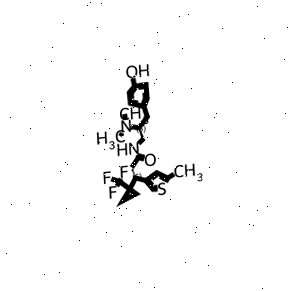 Cc1cc([C@@H](CC(=O)NC[C@H](Cc2ccc(O)cc2)N(C)C)C2(C(F)(F)F)CC2)cs1